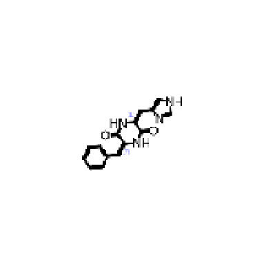 O=c1[nH]/c(=C/c2c[nH]cn2)c(=O)[nH]/c1=C/c1ccccc1